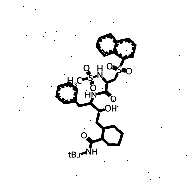 CC(C)(C)NC(=O)C1CCCCC1CC(O)C(Cc1ccccc1)NC(=O)C(CS(=O)(=O)c1cccc2ccccc12)NS(C)(=O)=O